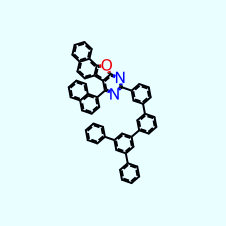 c1ccc(-c2cc(-c3ccccc3)cc(-c3cccc(-c4cccc(-c5nc(-c6cccc7ccccc67)c6c(n5)oc5c7ccccc7ccc56)c4)c3)c2)cc1